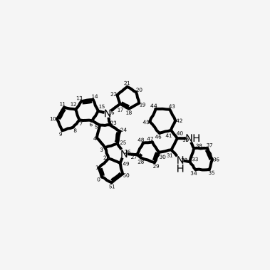 C1=CC2C3CC4C5C6CCC=CC6C=CC5N(C5=CCCCC5)C4C=C3N(C3=CC=C(C4NC5CCC=CC5NC4C4CCCCC4)CC3)C2C=C1